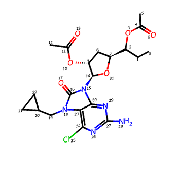 CCC(OC(C)=O)[C@@H]1C[C@@H](OC(C)=O)[C@H](n2c(=O)n(CC3CC3)c3c(Cl)nc(N)nc32)O1